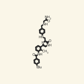 Cc1c(NC(=O)c2ccc(C(C)(C)C)cc2)cccc1-c1c[nH]c(=O)c(CNc2ccc(CNCC(N)=O)cc2)n1